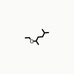 CCOC(C)CCC(C)C